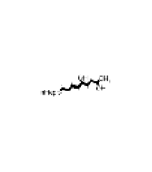 CCCCCCCCCCCC(O)CCC(C)O